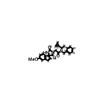 COc1ccc2c(c1)C=CC21NC(=O)N(CC(=O)N(Cc2ccccc2)C(C)C2CC2)C1=O